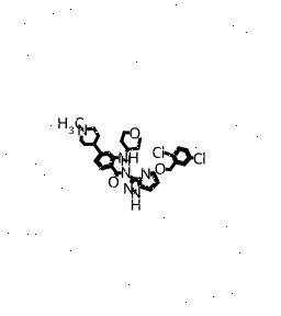 CN1CCC(c2ccc(C(=O)Nc3n[nH]c4ccc(OCc5cc(Cl)ccc5Cl)nc34)c(NC3CCOCC3)c2)CC1